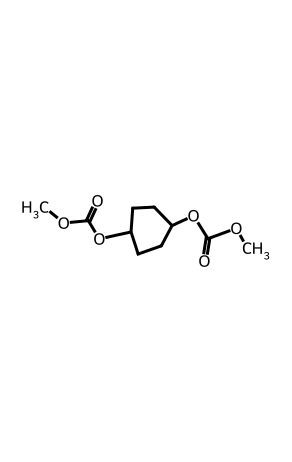 COC(=O)OC1CCC(OC(=O)OC)CC1